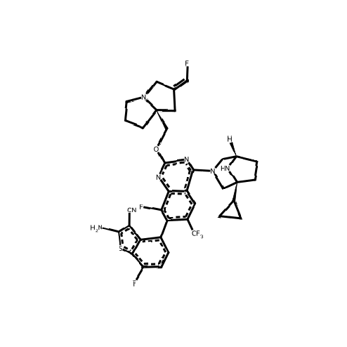 N#Cc1c(N)sc2c(F)ccc(-c3c(C(F)(F)F)cc4c(N5C[C@@H]6CC[C@](C7CC7)(C5)N6)nc(OC[C@@]56CCCN5C/C(=C\F)C6)nc4c3F)c12